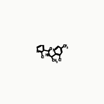 CC(NC(=O)c1cccnc1Cl)c1ncc(C(F)(F)F)cc1Cl